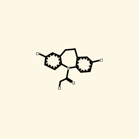 O=C(CCl)N1c2ccc(Cl)cc2CCc2cc(Cl)ccc21